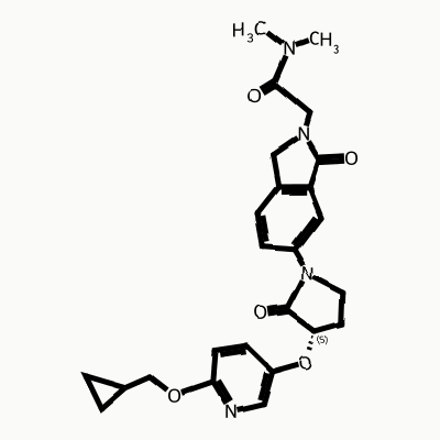 CN(C)C(=O)CN1Cc2ccc(N3CC[C@H](Oc4ccc(OCC5CC5)nc4)C3=O)cc2C1=O